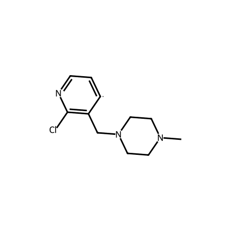 CN1CCN(Cc2[c]ccnc2Cl)CC1